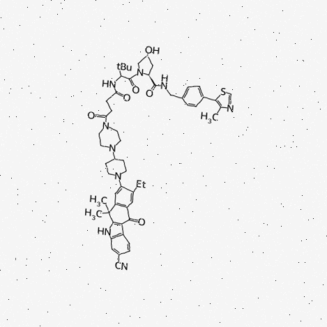 CCc1cc2c(cc1N1CCC(N3CCN(C(=O)CCC(=O)NC(C(=O)N4C[C@H](O)C[C@H]4C(=O)NCc4ccc(-c5scnc5C)cc4)C(C)(C)C)CC3)CC1)C(C)(C)c1[nH]c3cc(C#N)ccc3c1C2=O